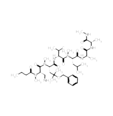 CCCC(=O)N(C)[C@H](CN)C(=O)N(C)[C@@H](CC(C)(C)OCc1ccccc1)C(=O)N[C@H](C(=O)N(C)[C@@H](CC(C)C)C(=O)N[C@H](C)C(=O)N[C@H](C)C(=O)NC)C(C)C